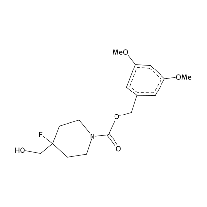 COc1cc(COC(=O)N2CCC(F)(CO)CC2)cc(OC)c1